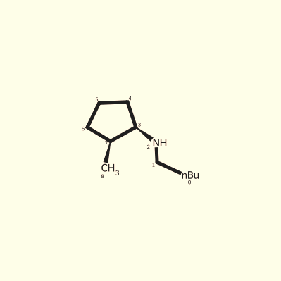 CCCCCN[C@@H]1CCC[C@@H]1C